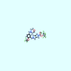 O=C(OC(C(F)(F)F)C(F)(F)F)N1CC2CN(Cc3cc(CN4CCOCC4)ccc3OC(F)(F)F)CC2C1